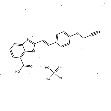 C#CCOc1ccc(C=Cc2nc3cccc(C(=O)O)c3[nH]2)cc1.O=P(O)(O)O